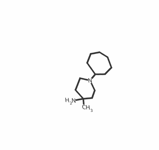 CC1(N)CCN(C2CCCCCC2)CC1